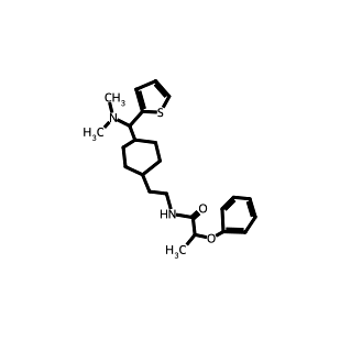 CC(Oc1ccccc1)C(=O)NCCC1CCC(C(c2cccs2)N(C)C)CC1